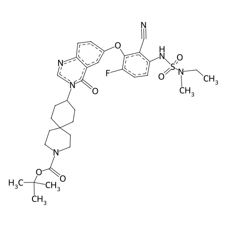 CCN(C)S(=O)(=O)Nc1ccc(F)c(Oc2ccc3ncn(C4CCC5(CC4)CCN(C(=O)OC(C)(C)C)CC5)c(=O)c3c2)c1C#N